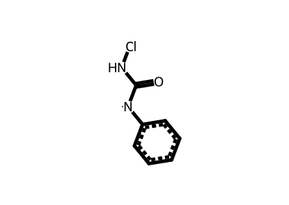 O=C([N]c1ccccc1)NCl